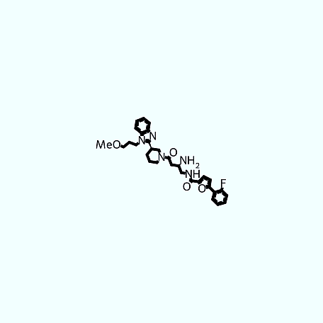 COCCCn1c([C@@H]2CCCN(C(=O)C[C@H](N)CNC(=O)c3ccc(-c4ccccc4F)o3)C2)nc2ccccc21